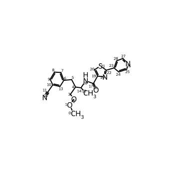 COOCC(Cc1cccc(C#N)c1)C(C)NC(=O)c1csc(-c2ccncc2)n1